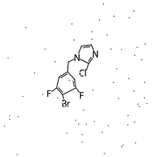 Fc1cc(Cn2ccnc2Cl)cc(F)c1Br